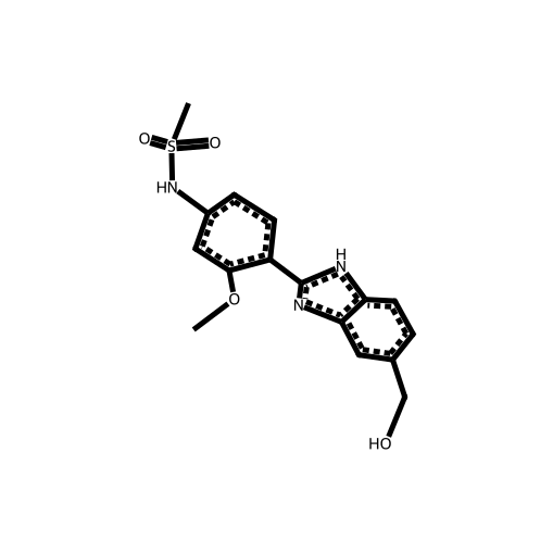 COc1cc(NS(C)(=O)=O)ccc1-c1nc2cc(CO)ccc2[nH]1